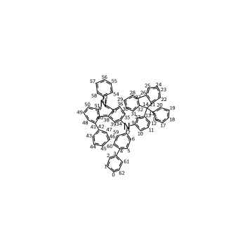 c1ccc(-c2ccc(N(c3cccc(C4(c5ccccc5)c5ccccc5-c5ccccc54)c3)c3ccc4c(c3)c3c(-c5ccccc5)cccc3n4-c3ccccc3)cc2)cc1